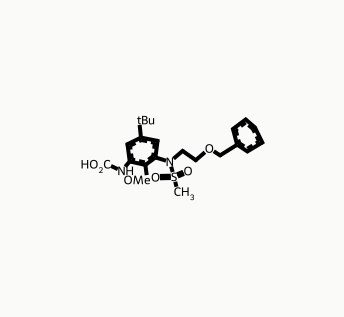 COc1c(NC(=O)O)cc(C(C)(C)C)cc1N(CCOCc1ccccc1)S(C)(=O)=O